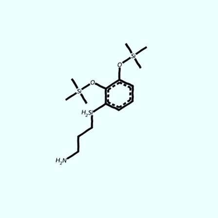 C[Si](C)(C)Oc1cccc([SiH2]CCCN)c1O[Si](C)(C)C